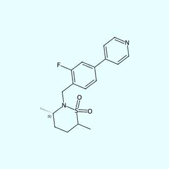 CC1CC[C@H](C)N(Cc2ccc(-c3ccncc3)cc2F)S1(=O)=O